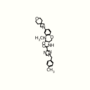 Cc1ccc(Cn2cnc(C(=O)N[C@H]3COc4ccc(N5CC6(CCOCC6)C5)cc4N(C)C3=O)n2)cc1